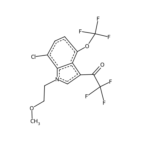 COCCn1cc(C(=O)C(F)(F)F)c2c(OC(F)(F)F)ccc(Cl)c21